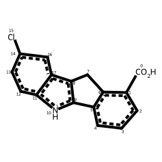 O=C(O)c1cccc2c1Cc1c-2[nH]c2ccc(Cl)cc12